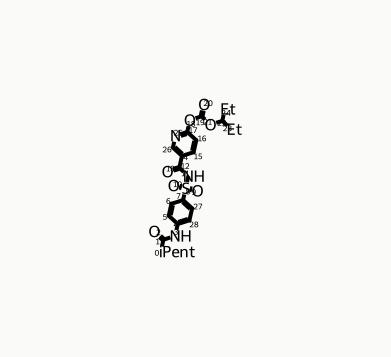 CCCC(C)C(=O)Nc1ccc(S(=O)(=O)NC(=O)c2ccc(OC(=O)OC(CC)CC)nc2)cc1